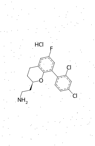 Cl.NCC[C@H]1CCc2cc(F)cc(-c3ccc(Cl)cc3Cl)c2O1